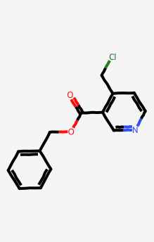 O=C(OCc1ccccc1)c1cnccc1CCl